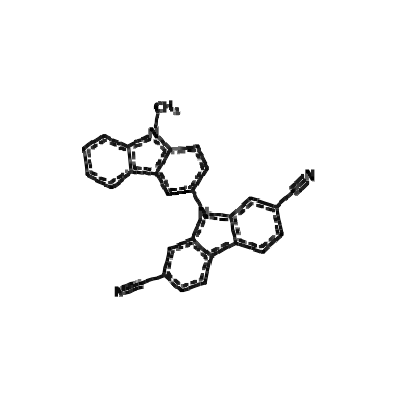 Cn1c2ccccc2c2cc(-n3c4cc(C#N)ccc4c4ccc(C#N)cc43)ccc21